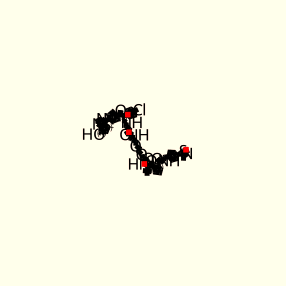 Cc1ncsc1-c1ccc(CNC(=O)[C@@H]2CCCN2C(=O)C(NC(=O)COCCOCCNC(=O)CCNC[C@@H](C(=O)N2CCN(c3ncnc4c3[C@H](C)C[C@H]4O)CC2)c2ccc(Cl)cc2)C(C)(C)C)cc1